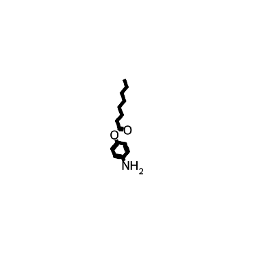 CCCCCCCC(=O)Oc1ccc(N)cc1